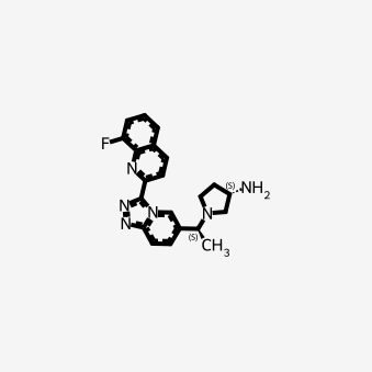 C[C@@H](c1ccc2nnc(-c3ccc4cccc(F)c4n3)n2c1)N1CC[C@H](N)C1